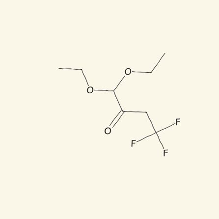 CCOC(OCC)C(=O)CC(F)(F)F